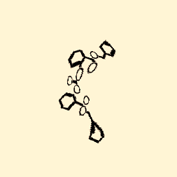 O=C(Oc1ccccc1C(=O)OCc1ccccc1)Oc1ccccc1C(=O)OCc1ccccc1